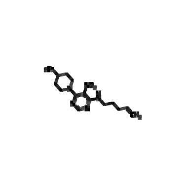 C=CCCCNc1ncnc(N2CCC(CCC)CC2)c1[N+](=O)[O-]